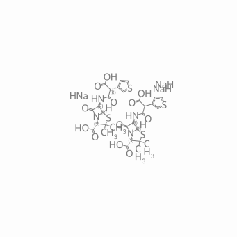 CC1(C)S[C@@H]2[C@H](NC(=O)C(C(=O)O)c3ccsc3)C(=O)N2[C@H]1C(=O)O.CC1(C)S[C@@H]2[C@H](NC(=O)[C@H](C(=O)O)c3ccsc3)C(=O)N2[C@H]1C(=O)O.[NaH].[NaH].[NaH]